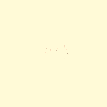 COc1ncc(-c2cccc3c2C[C@@H](NC(=O)c2ccc(OC(C)C)nc2)CC3)cn1